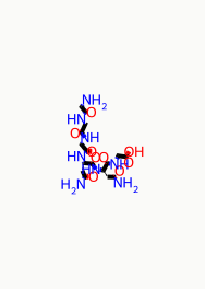 NCC(=O)NCC(=O)NCC(=O)N[C@@H](CC(N)=O)C(=O)N[C@@H](CC(N)=O)C(=O)NCC(=O)O